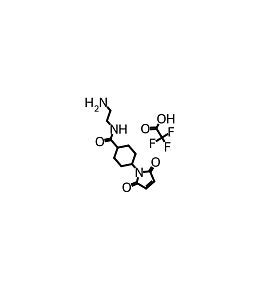 NCCNC(=O)C1CCC(N2C(=O)C=CC2=O)CC1.O=C(O)C(F)(F)F